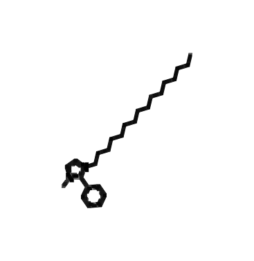 CCCCCCCCCCCCCCCCn1cc[n+](C)c1-c1ccccc1